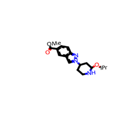 COC(=O)c1ccc2nn(C3CCNC(OC(C)C)C3)cc2c1